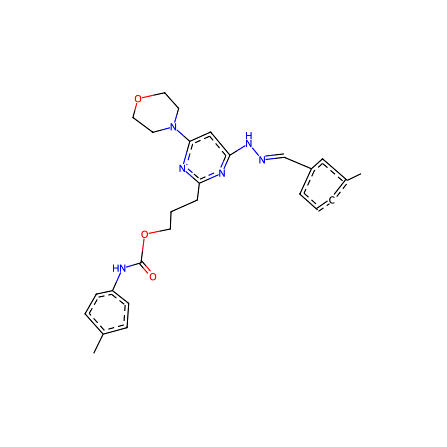 Cc1ccc(NC(=O)OCCCc2nc(NN=Cc3cccc(C)c3)cc(N3CCOCC3)n2)cc1